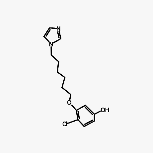 Oc1ccc(Cl)c(OCCCCCCn2ccnc2)c1